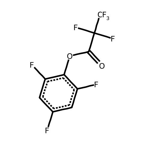 O=C(Oc1c(F)cc(F)cc1F)C(F)(F)C(F)(F)F